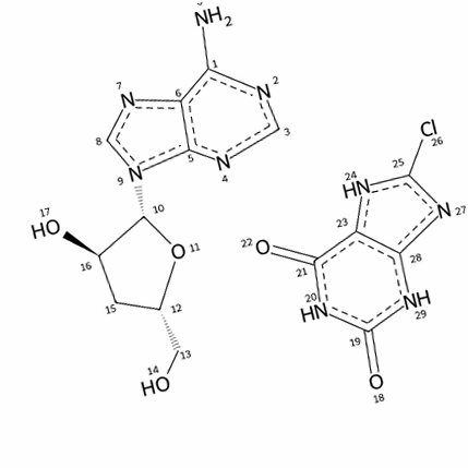 Nc1ncnc2c1ncn2[C@@H]1O[C@H](CO)C[C@H]1O.O=c1[nH]c(=O)c2[nH]c(Cl)nc2[nH]1